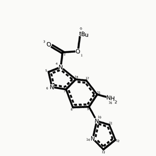 CC(C)(C)OC(=O)n1cnc2cc(-n3cccn3)c(N)cc21